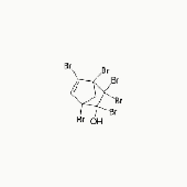 OC1(Br)C2(Br)C=C(Br)C(Br)(C2)C1(Br)Br